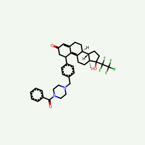 C[C@]12CCC3=C4C(=CC(=O)CC4c4ccc(CN5CCN(C(=O)c6ccccc6)CC5)cc4)CC[C@H]3[C@@H]1CCC2(O)C(F)(F)C(F)(F)F